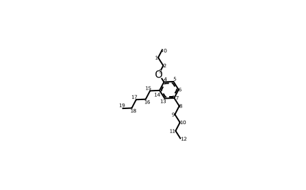 [CH2]CCOc1ccc(CCCCC)cc1CCCCC